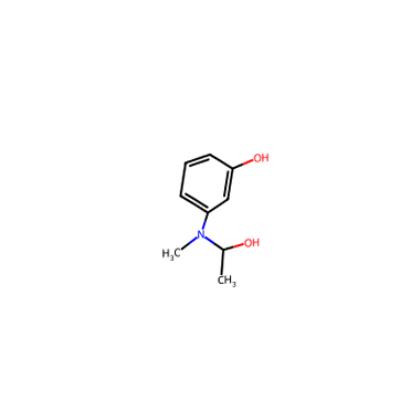 CC(O)N(C)c1cccc(O)c1